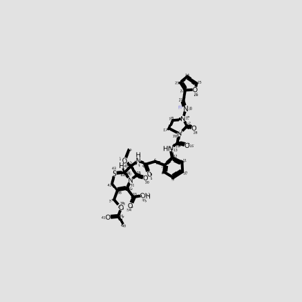 COC1(NC(=O)Cc2ccccc2NC(=O)N2CCN(/N=C/c3ccco3)C2=O)C(=O)N2C(C(=O)O)=C(COC(C)=O)CS[C@@H]21